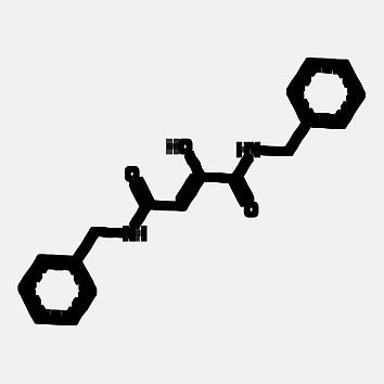 O=C(/C=C(\O)C(=O)NCc1ccccc1)NCc1ccccc1